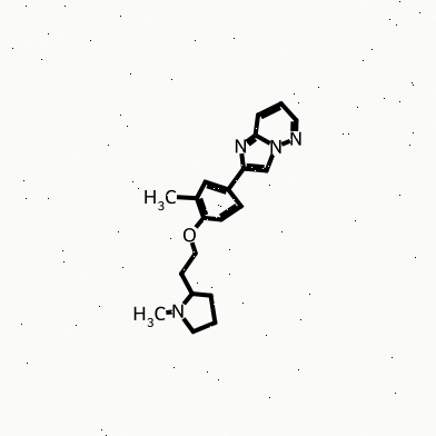 Cc1cc(-c2cn3ncccc3n2)ccc1OCCC1CCCN1C